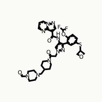 O=CN1CCN(CC2CCN(C(=O)Cn3cc(NC(=O)c4cnn5cccnc45)c(-c4cc(SC5COC5)ccc4OC(F)F)n3)CC2)CC1